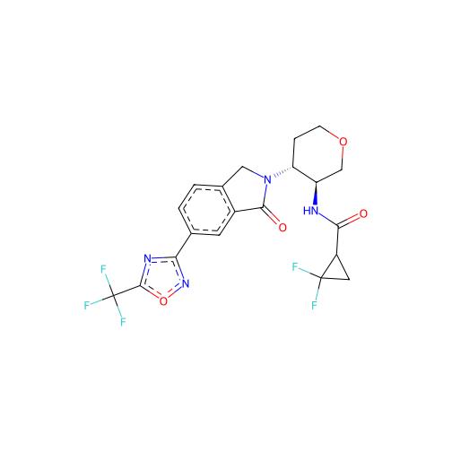 O=C(N[C@@H]1COCC[C@H]1N1Cc2ccc(-c3noc(C(F)(F)F)n3)cc2C1=O)C1CC1(F)F